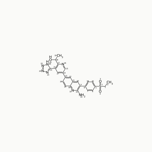 CCS(=O)(=O)c1ccc(-c2cc3cc(-c4cnc(C(C)O)c(-c5nnn[nH]5)c4)ccc3nc2N)cc1